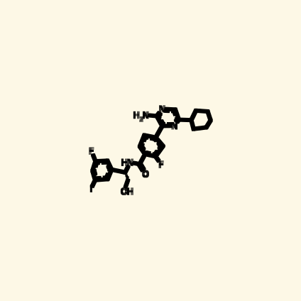 Nc1ncc(C2CCCCC2)nc1-c1ccc(C(=O)N[C@H](CO)c2cc(F)cc(I)c2)c(F)c1